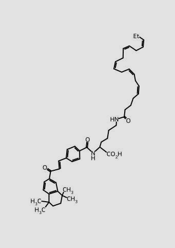 CC/C=C\C/C=C\C/C=C\C/C=C\C/C=C\CCCC(=O)NCCCCC(NC(=O)c1ccc(/C=C/C(=O)c2ccc3c(c2)C(C)(C)CCC3(C)C)cc1)C(=O)O